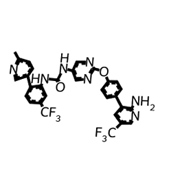 Cc1ccc(-c2ccc(C(F)(F)F)cc2NC(=O)Nc2cnc(Oc3ccc(-c4cc(C(F)(F)F)cnc4N)cc3)nc2)cn1